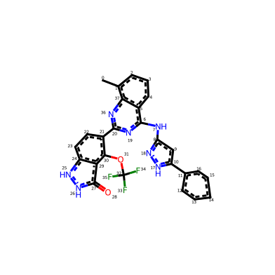 Cc1cccc2c(Nc3cc(-c4ccccc4)[nH]n3)nc(-c3ccc4[nH][nH]c(=O)c4c3OC(F)(F)F)nc12